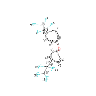 FC(F)C(F)(F)c1ccc(Oc2ccc(C(F)(F)C(F)F)cc2)cc1